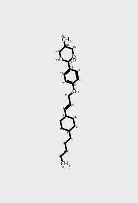 CCCCCC1CCC(C=CCOc2ccc(C3OCC(C)CO3)cc2)CC1